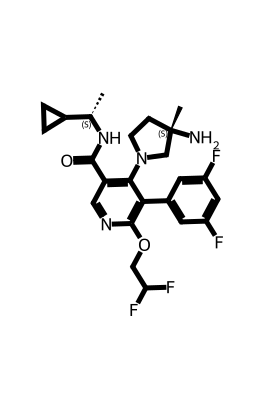 C[C@H](NC(=O)c1cnc(OCC(F)F)c(-c2cc(F)cc(F)c2)c1N1CC[C@](C)(N)C1)C1CC1